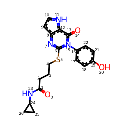 O=C(CCCSc1nc2cc[nH]c2c(=O)n1-c1ccc(O)cc1)NC1CC1